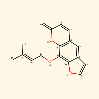 C=C1C=Cc2cc3ccoc3c(OCC=C(C)C)c2O1